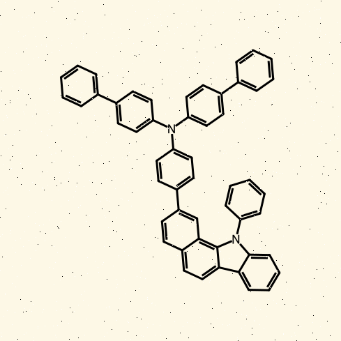 c1ccc(-c2ccc(N(c3ccc(-c4ccccc4)cc3)c3ccc(-c4ccc5ccc6c7ccccc7n(-c7ccccc7)c6c5c4)cc3)cc2)cc1